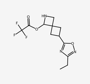 CCc1noc(C2CC3(CNC3OC(=O)C(F)(F)F)C2)n1